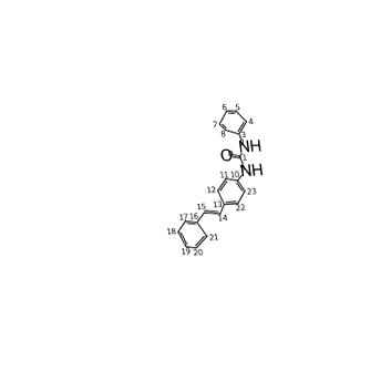 O=C(Nc1ccccc1)Nc1ccc(C=Cc2ccccc2)cc1